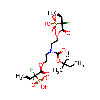 C=CC(F)(C(=O)OCCN(CCOC(=O)[C@@](F)(C=C)S(=O)(=O)O)C(=O)OC(C)(C)CC)S(=O)(=O)O